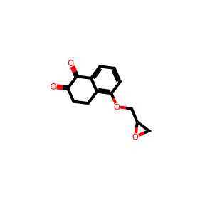 O=C1CCc2c(OCC3CO3)cccc2C1=O